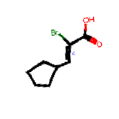 O=C(O)/C(Br)=C/C1CCCC1